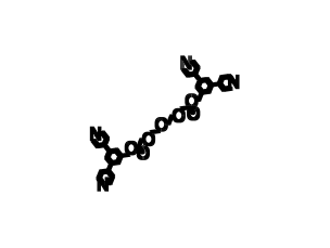 O=C(COCCOCCOCC(=O)OCc1cc(-c2ccncc2)cc(-c2ccncc2)c1)OCc1cc(-c2ccncc2)cc(-c2ccncc2)c1